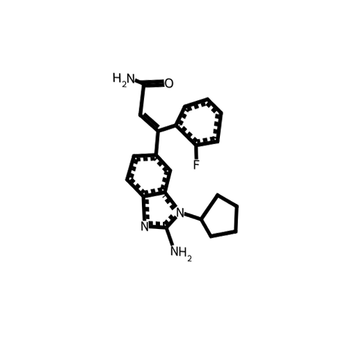 NC(=O)/C=C(/c1ccc2nc(N)n(C3CCCC3)c2c1)c1ccccc1F